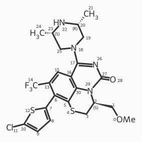 COC[C@H]1CSc2c(-c3ccc(Cl)s3)c(C(F)(F)F)cc3c(N4C[C@@H](C)N[C@@H](C)C4)nc(=O)n1c23